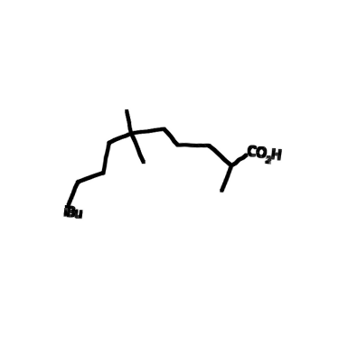 CCC(C)CCCC(C)(C)CCCC(C)C(=O)O